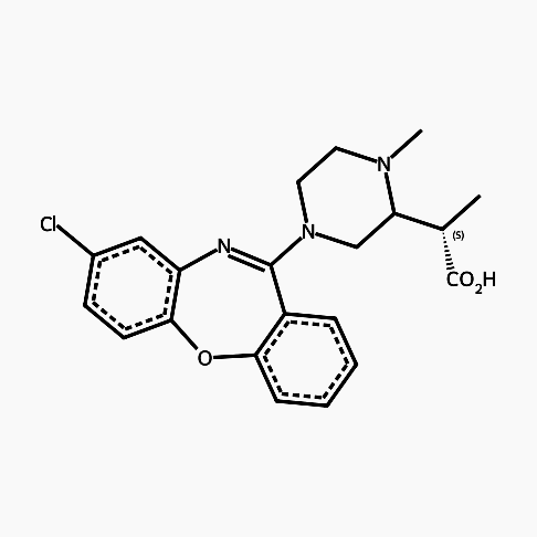 C[C@H](C(=O)O)C1CN(C2=Nc3cc(Cl)ccc3Oc3ccccc32)CCN1C